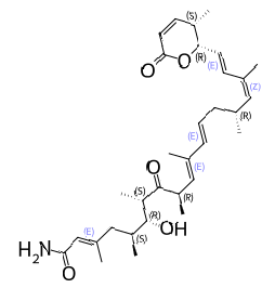 CC(=C/[C@H](C)C/C=C/C(C)=C/[C@@H](C)C(=O)[C@@H](C)[C@H](O)[C@@H](C)C/C(C)=C/C(N)=O)/C=C/[C@@H]1OC(=O)C=C[C@@H]1C